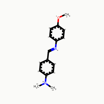 COc1ccc(N=Cc2ccc(N(C)C)cc2)cc1